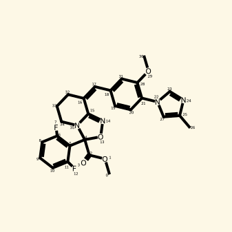 COC(=O)C1(c2c(F)cccc2F)ON=C2/C(=C\c3ccc(-n4cnc(C)c4)c(OC)c3)CCCN21